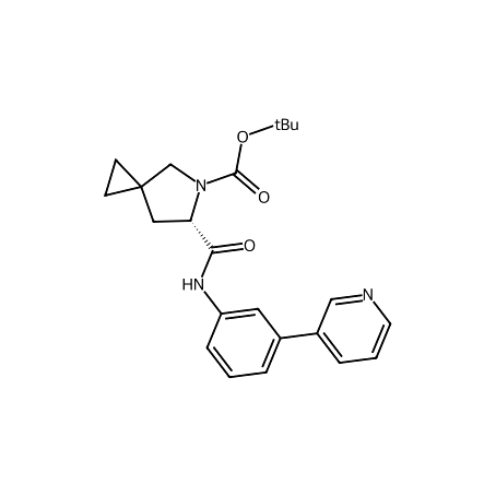 CC(C)(C)OC(=O)N1CC2(CC2)C[C@H]1C(=O)Nc1cccc(-c2cccnc2)c1